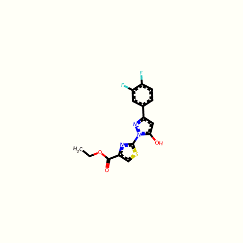 CCOC(=O)c1csc(-n2nc(-c3ccc(F)c(F)c3)cc2O)n1